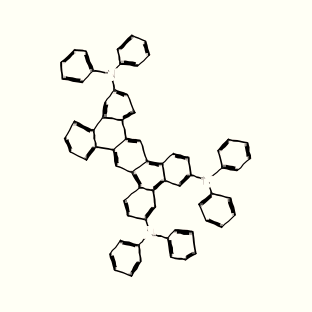 c1ccc(N(c2ccccc2)c2ccc3c(c2)c2ccccc2c2cc4c5ccc(N(c6ccccc6)c6ccccc6)cc5c5cc(N(c6ccccc6)c6ccccc6)ccc5c4cc32)cc1